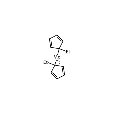 CC[C]1([MoH2][C]2(CC)C=CC=C2)C=CC=C1